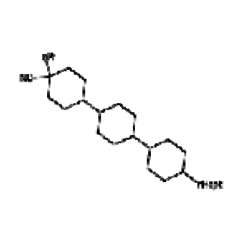 CCCCCCCC1CCC(C2CCC(C3CCC(C#N)(CCC)CC3)CC2)CC1